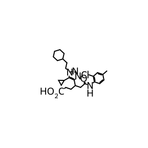 Cc1ccc(NC(=O)CC(CCC(=O)O)c2nnn(CCC3CCCCC3)c2C2CC2)c(Cl)c1